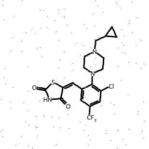 O=C1NC(=O)/C(=C\c2cc(C(F)(F)F)cc(Cl)c2N2CCN(CC3CC3)CC2)S1